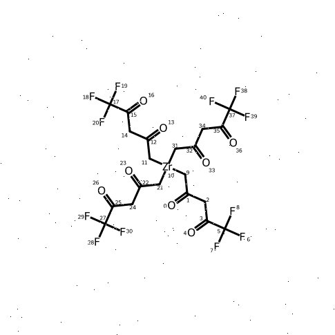 O=C(CC(=O)C(F)(F)F)[CH2][Zr]([CH2]C(=O)CC(=O)C(F)(F)F)([CH2]C(=O)CC(=O)C(F)(F)F)[CH2]C(=O)CC(=O)C(F)(F)F